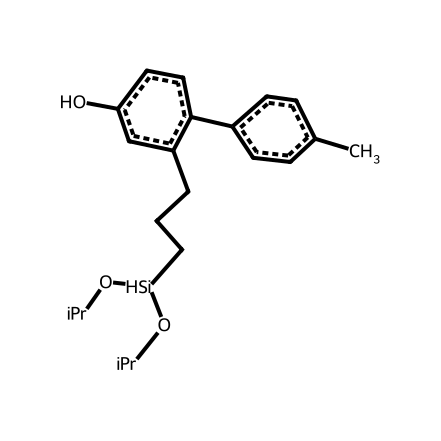 Cc1ccc(-c2ccc(O)cc2CCC[SiH](OC(C)C)OC(C)C)cc1